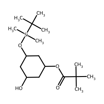 CC(C)(C)C(=O)OC1CC(O)CC(O[Si](C)(C)C(C)(C)C)C1